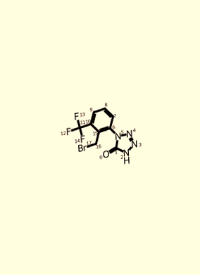 O=c1[nH]nnn1-c1cccc(C(F)(F)F)c1CBr